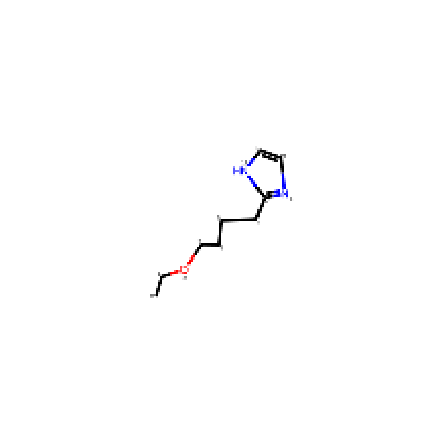 CCOCCCCc1n[c]c[nH]1